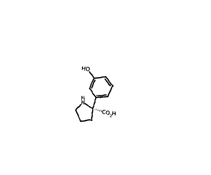 O=C(O)[C@]1(c2cccc(O)c2)CCCN1